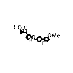 COc1ccc(F)c(C2CCC(COc3cc([C@@H](CC(=O)O)C4CC4)ccn3)CC2)c1